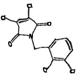 O=C1C(Cl)=C(Cl)C(=O)N1Cc1cccc(Cl)c1Cl